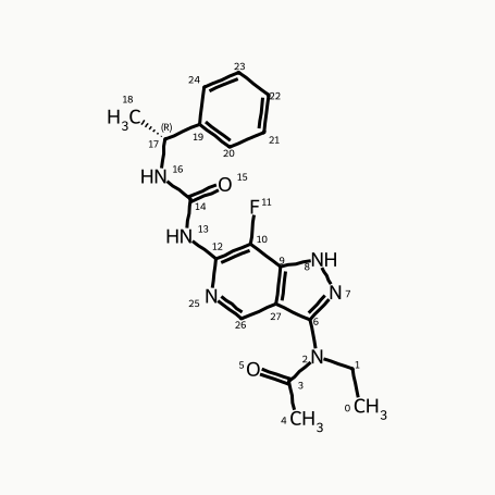 CCN(C(C)=O)c1n[nH]c2c(F)c(NC(=O)N[C@H](C)c3ccccc3)ncc12